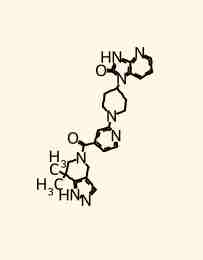 CC1(C)CN(C(=O)c2ccnc(N3CCC(n4c(=O)[nH]c5ncccc54)CC3)c2)Cc2cn[nH]c21